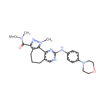 CON(C)C(=O)c1nn(C)c2c1CCCc1cnc(Nc3ccc(N4CCOCC4)cc3)nc1-2